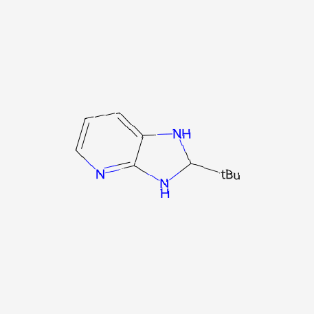 CC(C)(C)C1Nc2cccnc2N1